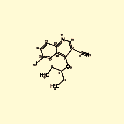 CCC(CC)Oc1c(C#N)cnc2ccc(I)cc12